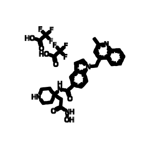 Cc1cc(Cn2ccc3cc(C(=O)NC4(CC(=O)NO)CCNCC4)ccc32)c2ccccc2n1.O=C(O)C(F)(F)F.O=C(O)C(F)(F)F